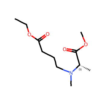 CCOC(=O)CCCN(C)[C@@H](C)C(=O)OC